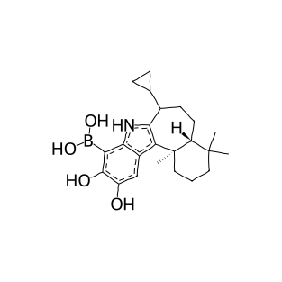 CC1(C)CCC[C@@]2(C)c3c([nH]c4c(B(O)O)c(O)c(O)cc34)C(C3CC3)CC[C@H]12